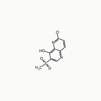 CS(=O)(=O)c1cnc2ccc(Cl)nc2c1O